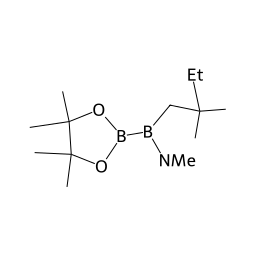 CCC(C)(C)CB(NC)B1OC(C)(C)C(C)(C)O1